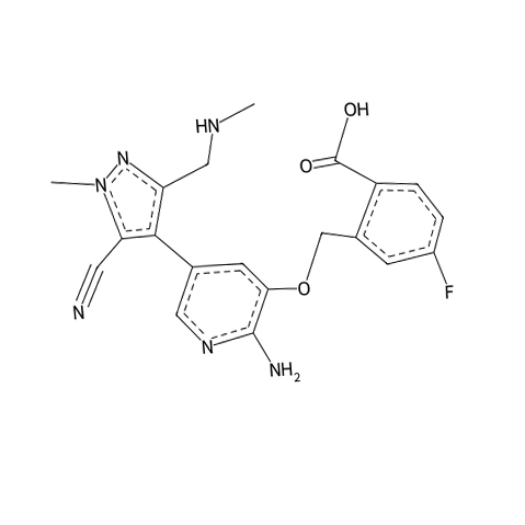 CNCc1nn(C)c(C#N)c1-c1cnc(N)c(OCc2cc(F)ccc2C(=O)O)c1